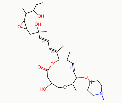 CCC(O)C(C)C1OC1CC(C)(O)/C=C/C=C(\C)C1OC(=O)CC(O)CCC(C)C(ON2CCN(C)CC2)/C=C/C1C